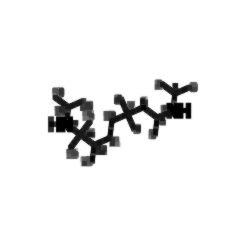 CC(C)NC(C)CC(C)(C)CCC(C)C(C)(C)NC(C)C